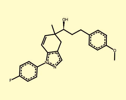 COc1ccc(CC[C@H](O)C2(C)C=Cc3c(cnn3-c3ccc(F)cc3)C2)cc1